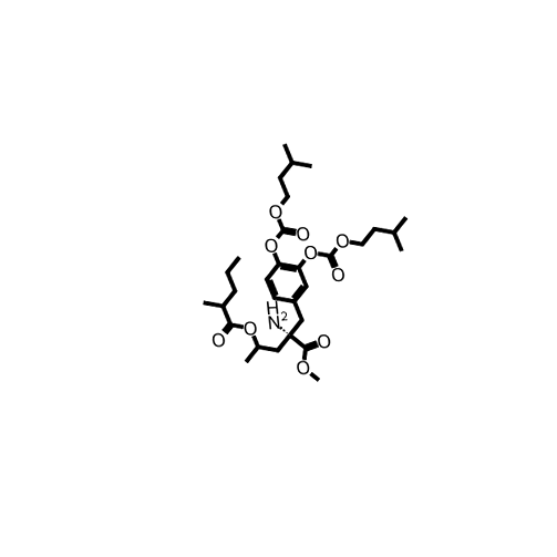 CCCC(C)C(=O)OC(C)C[C@@](N)(Cc1ccc(OC(=O)OCCC(C)C)c(OC(=O)OCCC(C)C)c1)C(=O)OC